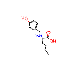 CCCCC(NCc1ccc(O)cc1)C(=O)O